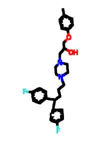 Cc1ccc(OCC(O)CN2CCN(CCCC(c3ccc(F)cc3)c3ccc(F)cc3)CC2)cc1